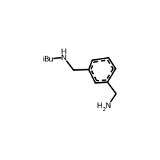 CCC(C)NCc1cccc(CN)c1